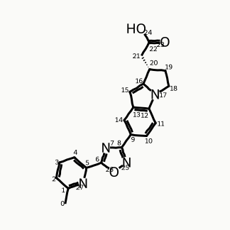 Cc1cccc(-c2nc(-c3ccc4c(c3)cc3n4CC[C@H]3CC(=O)O)no2)n1